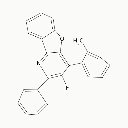 Cc1ccccc1-c1c(F)c(-c2ccccc2)nc2c1oc1ccccc12